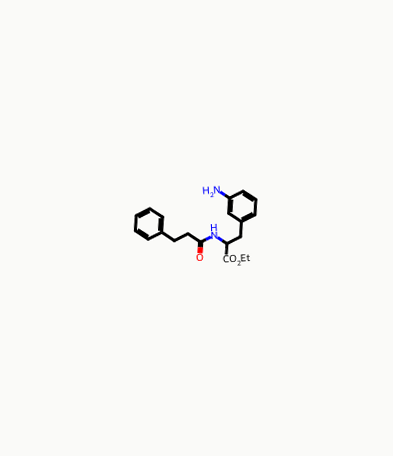 CCOC(=O)C(Cc1cccc(N)c1)NC(=O)CCc1ccccc1